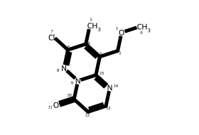 COCc1c(C)c(Cl)nn2c(=O)ccnc12